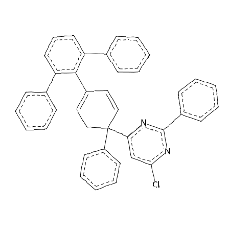 Clc1cc(C2(c3ccccc3)C=CC(c3c(-c4ccccc4)cccc3-c3ccccc3)=CC2)nc(-c2ccccc2)n1